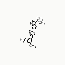 Cc1cc(C)cc(Cc2noc(-c3ccc4c(c3)N=NC4C(C)C)n2)c1